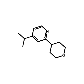 CC(C)c1ccnc(C2CCOCC2)c1